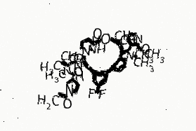 C=CC(=O)N1CC[C@H](C(=O)N(C)C(C(=O)N[C@H]2Cc3cc(cc(C(F)F)c3)-c3ccc4c(c3)c(c(-c3cccnc3[C@H](C)OC)n4CC)CC(C)(C)COC(=O)[C@@H]3CCCN(N3)C2=O)C(C)C)C1